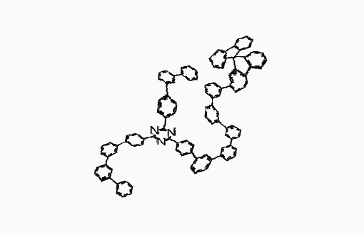 c1ccc(-c2cccc(-c3ccc(-c4nc(-c5ccc(-c6cccc(-c7cccc(-c8ccccc8)c7)c6)cc5)nc(-c5ccc(-c6cccc(-c7cccc(-c8cccc(-c9cccc(-c%10cccc(-c%11ccc%12c(c%11)C%11(c%13ccccc%13-c%13ccccc%13%11)c%11ccccc%11-%12)c%10)c9)c8)c7)c6)cc5)n4)cc3)c2)cc1